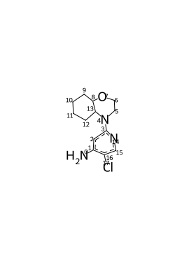 Nc1cc(N2CCOC3CCCCC32)ncc1Cl